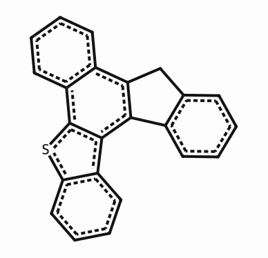 c1ccc2c(c1)Cc1c-2c2c3ccccc3sc2c2ccccc12